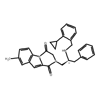 Cc1ccc2c(c1)cc1n2C(=O)CN(C[C@H](Cc2ccccc2)NCc2ccccc2C2CC2)C1=O